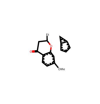 CCC1CC(=O)c2ccc(OC)cc2O1.c1cc2cc-2c1